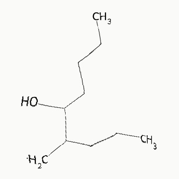 [CH2]C(CCC)C(O)CCCC